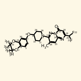 [2H]C1([2H])Oc2ccc(OC3CCN(c4nn5c(=O)cc(C(F)F)nc5cc4C)CC3)cc2OC1([2H])[2H]